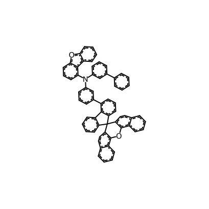 c1ccc(-c2cccc(N(c3cccc(-c4cccc5c4-c4ccccc4C54c5ccc6ccccc6c5Oc5c4ccc4ccccc54)c3)c3cccc4oc5ccccc5c34)c2)cc1